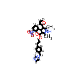 CC1=C(C(=O)OC/C=C/c2ccc(Cn3ccnc3)cc2)C(c2cccc([N+](=O)[O-])c2)C(c2ccco2)=C(C)N1